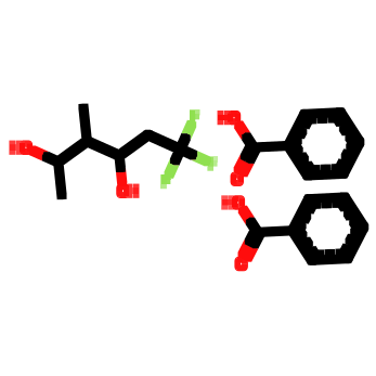 CC(O)C(C)C(O)CC(F)(F)F.O=C(O)c1ccccc1.O=C(O)c1ccccc1